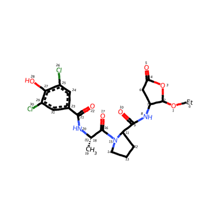 CCOC1OC(=O)CC1NC(=O)C1CCCN1C(=O)[C@H](C)NC(=O)c1cc(Cl)c(O)c(Cl)c1